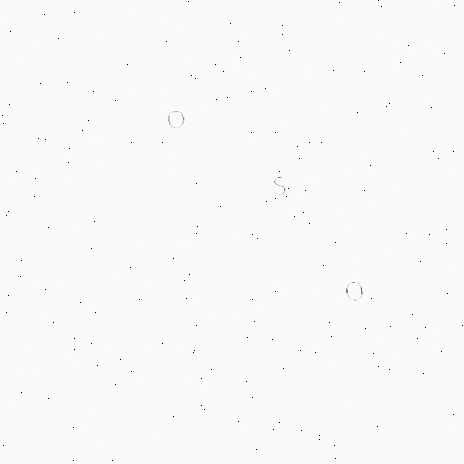 O=C1SC(=O)c2ccccc21